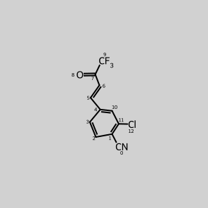 N#Cc1ccc(C=CC(=O)C(F)(F)F)cc1Cl